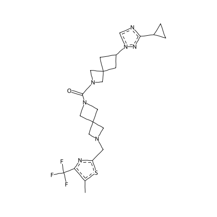 Cc1sc(CN2CC3(C2)CN(C(=O)N2CC4(CC(n5cnc(C6CC6)n5)C4)C2)C3)nc1C(F)(F)F